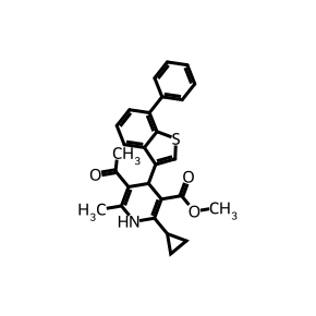 COC(=O)C1=C(C2CC2)NC(C)=C(C(C)=O)C1c1csc2c(-c3ccccc3)cccc12